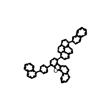 c1ccc2cc(-c3ccc4ccc5c(-c6ccc(-c7ccc(-c8cccc9ccccc89)cc7)c7oc8c9ccccc9ccc8c67)ccc6ccc3c4c65)ccc2c1